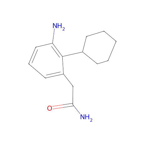 NC(=O)Cc1cccc(N)c1C1CCCCC1